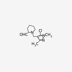 Cc1nn(C)c(Cl)c1CN1CCCCC1C=O